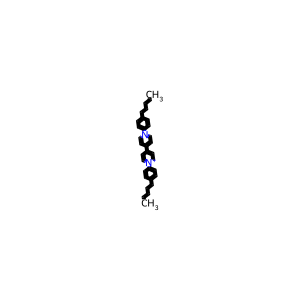 CCCCCc1ccc(N2C=CC(c3cc[n+](-c4ccc(CCCCC)cc4)cc3)=CC2)cc1